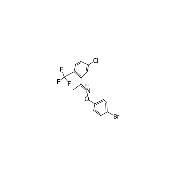 C/C(=N\Oc1ccc(Br)cc1)c1cc(Cl)ccc1C(F)(F)F